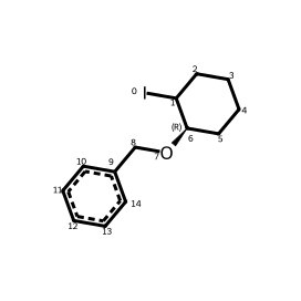 IC1CCCC[C@H]1OCc1ccccc1